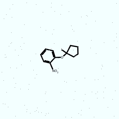 O=[N+]([O-])c1ccccc1OC1(I)CCCC1